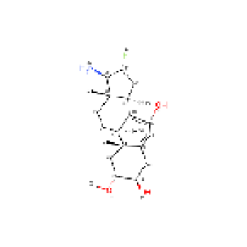 CO[C@@H]1C[C@@]2(C)C(=CC(O)=C3[C@@H]4C[C@@H](F)[C@H](N)[C@@]4(C)CC[C@@H]32)C[C@H]1O